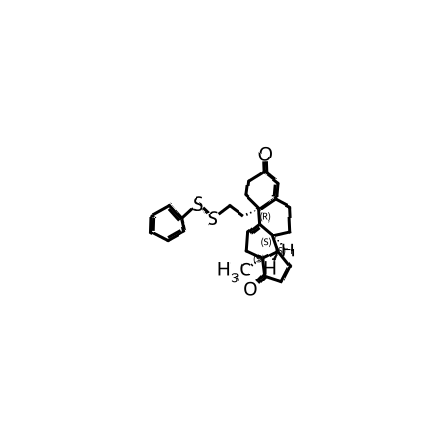 C[C@]12CC=C3[C@@H](CCC4=CC(=O)CC[C@@]43CCSSc3ccccc3)[C@@H]1CCC2=O